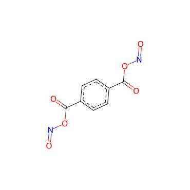 O=NOC(=O)c1ccc(C(=O)ON=O)cc1